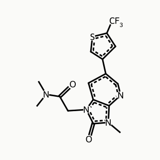 CN(C)C(=O)Cn1c(=O)n(C)c2ncc(-c3csc(C(F)(F)F)c3)cc21